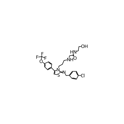 O=C(CNCCCn1c(-c2ccc(OC(F)(F)F)cc2)cs/c1=N\Cc1ccc(Cl)cc1)NCCO